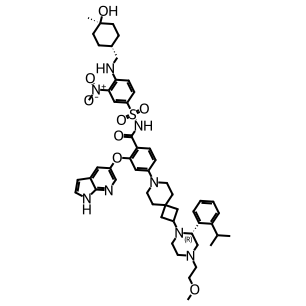 COCCN1CCN(C2CC3(CCN(c4ccc(C(=O)NS(=O)(=O)c5ccc(NC[C@H]6CC[C@](C)(O)CC6)c([N+](=O)[O-])c5)c(Oc5cnc6[nH]ccc6c5)c4)CC3)C2)[C@H](c2ccccc2C(C)C)C1